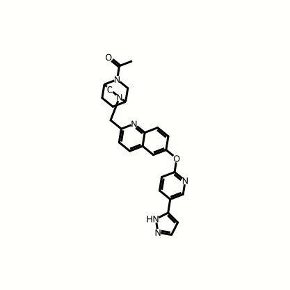 CC(=O)N1CC2CCC1CN2Cc1ccc2cc(Oc3ccc(-c4ccn[nH]4)cn3)ccc2n1